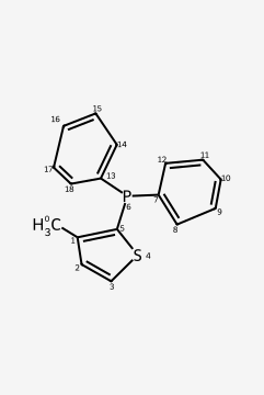 Cc1ccsc1P(c1ccccc1)c1ccccc1